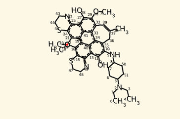 CCN(CC)C1CCC(Nc2c(O)c3c4c(c(OC)c5c6c(OC)c7c(c8c(O)c(OC)c9c(c(c2CC(C)=C9)c35)c86)=NCCS7)SCCN=4)CC1